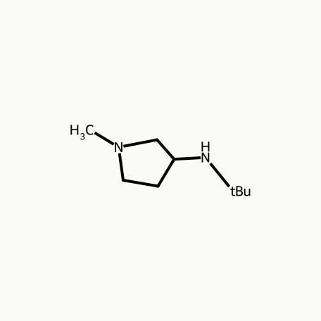 CN1CCC(NC(C)(C)C)C1